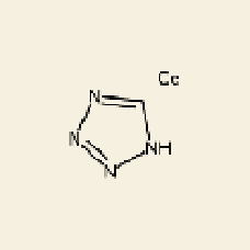 [Ce].c1nnn[nH]1